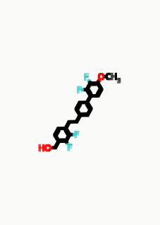 COc1ccc(-c2ccc(CCc3ccc(CO)c(F)c3F)cc2)c(F)c1F